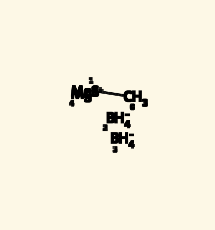 CSC.[BH4-].[BH4-].[Mg+2]